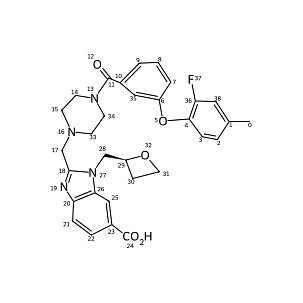 Cc1ccc(Oc2cccc(C(=O)N3CCN(Cc4nc5ccc(C(=O)O)cc5n4C[C@@H]4CCO4)CC3)c2)c(F)c1